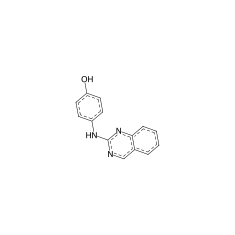 Oc1ccc(Nc2ncc3ccccc3n2)cc1